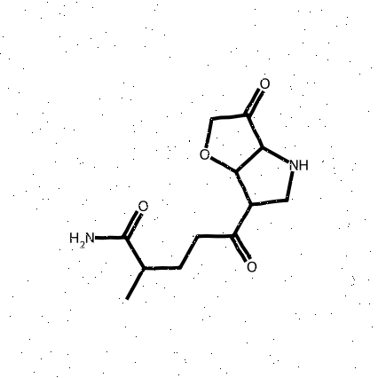 CC(C[CH]C(=O)C1CNC2C(=O)COC12)C(N)=O